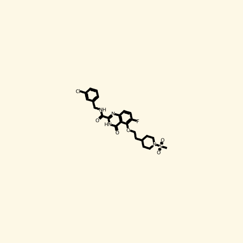 CS(=O)(=O)N1CCC(CCOc2c(F)ccc3nc(C(=O)NCc4cccc(Cl)c4)[nH]c(=O)c23)CC1